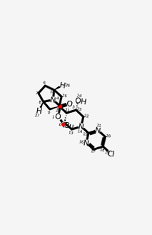 CC(C)(C)OC(=O)N1[C@@H]2CC[C@H]1C[C@H]([C@H]1CCN(c3ncc(Cl)cn3)C[C@H]1O)C2